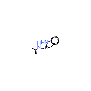 C=C(C)NC[C@@H]1Cc2ccccc2N1